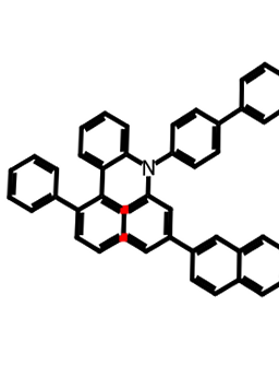 c1ccc(-c2ccc(N(c3cccc(-c4ccc5ccccc5c4)c3)c3ccccc3-c3ccccc3-c3ccccc3)cc2)cc1